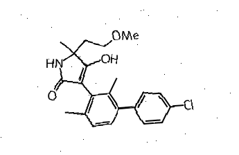 COCCC1(C)NC(=O)C(c2c(C)ccc(-c3ccc(Cl)cc3)c2C)=C1O